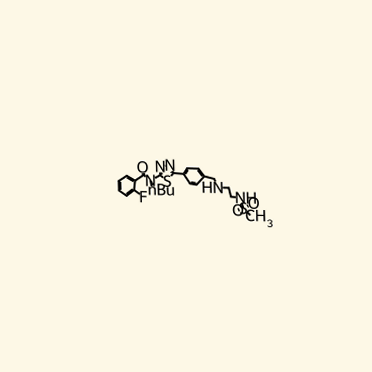 CCCCN(C(=O)c1ccccc1F)c1nnc(-c2ccc(CNCCNS(C)(=O)=O)cc2)s1